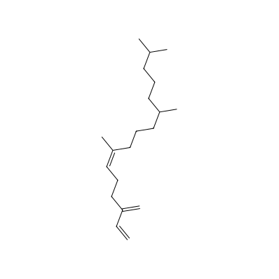 C=CC(=C)CCC=C(C)CCCC(C)CCCC(C)C